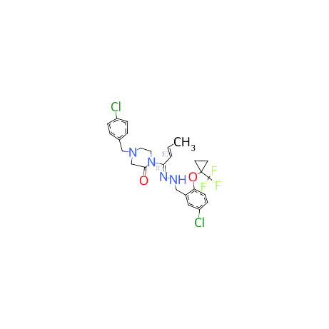 C/C=C/C(=N\NCc1cc(Cl)ccc1OC1(C(F)(F)F)CC1)N1CCN(Cc2ccc(Cl)cc2)CC1=O